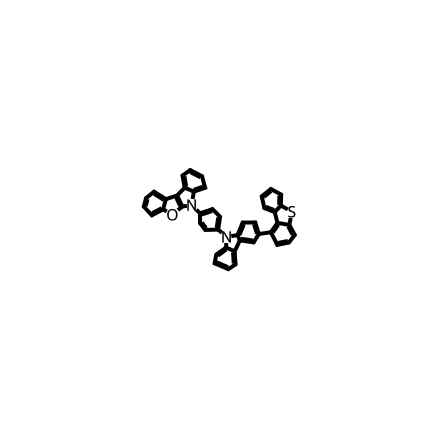 c1ccc2c(c1)oc1c2c2ccccc2n1-c1ccc(-n2c3ccccc3c3cc(-c4cccc5sc6ccccc6c45)ccc32)cc1